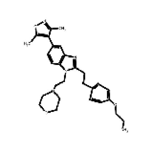 Cc1noc(C)c1-c1ccc2c(c1)nc(CCc1ccc(OCCN)cc1)n2CCN1CCOCC1